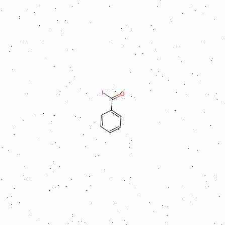 O=C(I)c1cc[c]cc1